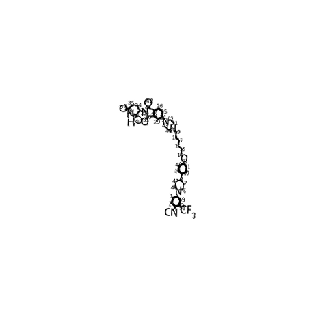 N#Cc1ccc(N2CCC(c3ccc(OCCCCCCN4CCN(c5ccc6c(c5)C(=O)N(C5CCC(=O)NC5=O)C6=O)CC4)cc3)CC2)cc1C(F)(F)F